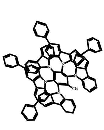 N#Cc1c(-n2c3c(c4ccccc42)CCC=C3)c(-n2c3ccc(-c4ccccc4)cc3c3cc(-c4ccccc4)ccc32)c(-n2c3ccccc3c3ccccc32)c(-n2c3ccc(-c4ccccc4)cc3c3cc(-c4ccccc4)ccc32)c1-n1c2ccccc2c2ccccc21